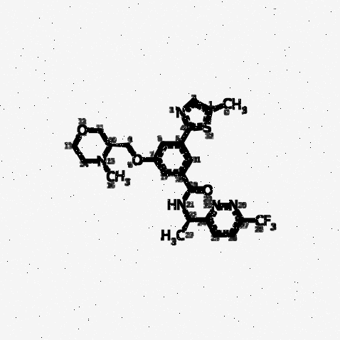 Cc1cnc(-c2cc(OC[C@@H]3COCCN3C)cc(C(=O)N[C@H](C)c3ccc(C(F)(F)F)nn3)c2)s1